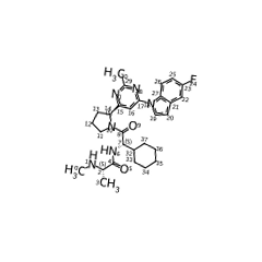 CN[C@@H](C)C(=O)N[C@H](C(=O)N1CCC[C@H]1c1cc(-n2ccc3cc(F)ccc32)nc(C)n1)C1CCCCC1